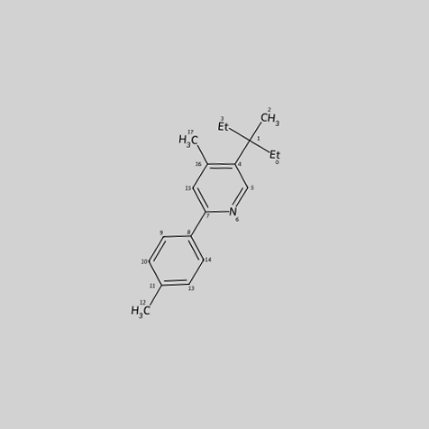 CCC(C)(CC)c1cnc(-c2ccc(C)cc2)cc1C